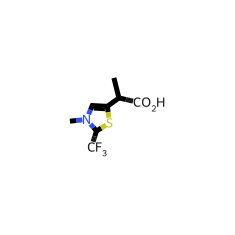 CC(C(=O)O)C1=CN(C)C(C(F)(F)F)S1